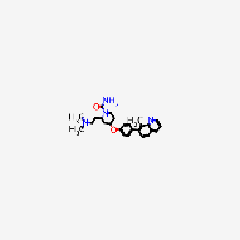 Cc1c(-c2ccc(OC3CCN(C(N)=O)C(CCN(C)C)C3)cc2)ccc2cccnc12